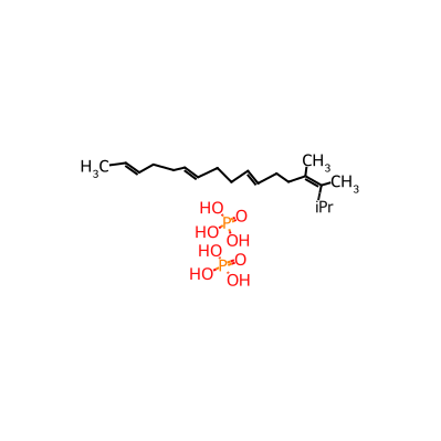 CC=CCCC=CCCC=CCCC(C)=C(C)C(C)C.O=P(O)(O)O.O=P(O)(O)O